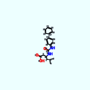 CC(C)CC(CC(=O)O)NC(=O)Nc1ccc(-c2ccccc2)cc1